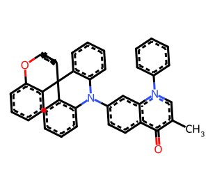 Cc1cn(-c2ccccc2)c2cc(N3c4ccccc4C4(c5ccccc5Oc5ccccc54)c4ccccc43)ccc2c1=O